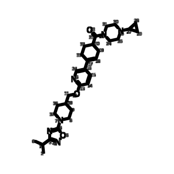 CC(C)c1noc(N2CCC(COc3ccc(C4=CCC(C(=O)N5CCN(C6CC6)CC5)CC4)cn3)CC2)n1